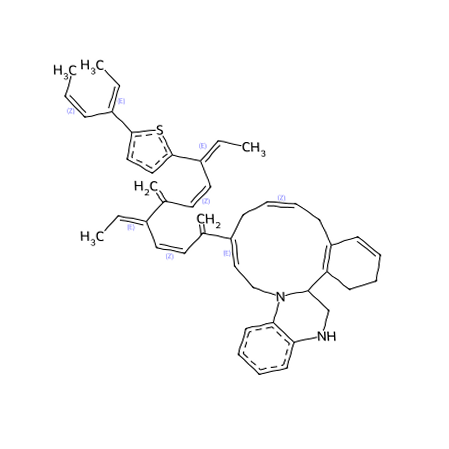 C=C(/C=C\C(=C/C)c1ccc(C(/C=C\C)=C/C)s1)C(/C=C\C(=C)/C1=C/CN2c3ccccc3NCC2C2=C(C=CCC2)C/C=C\C1)=C/C